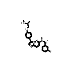 CNC(C)COc1ccc(-c2cnc3ccc(N[C@H](C)c4cccc(F)c4)nn23)cc1